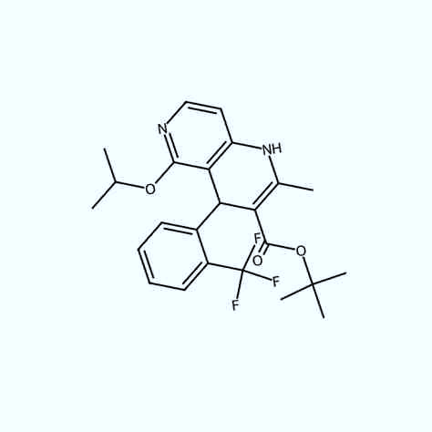 CC1=C(C(=O)OC(C)(C)C)C(c2ccccc2C(F)(F)F)c2c(ccnc2OC(C)C)N1